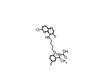 C[C@@H](NC(=O)O)c1cc(F)ccc1OCCCCNc1c(F)cnc2ccc(Cl)nc12